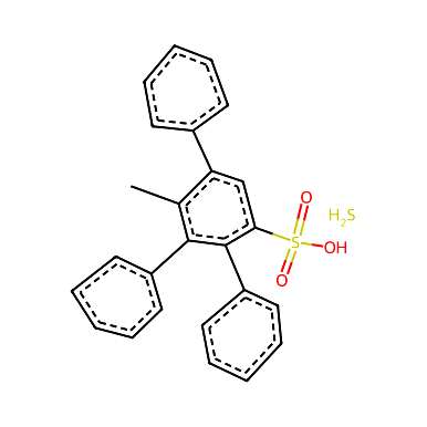 Cc1c(-c2ccccc2)cc(S(=O)(=O)O)c(-c2ccccc2)c1-c1ccccc1.S